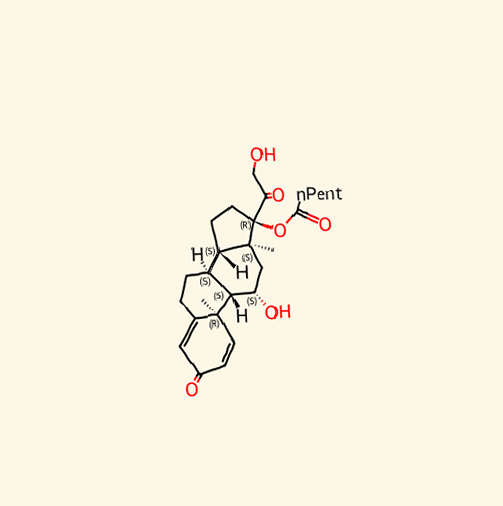 CCCCCC(=O)O[C@]1(C(=O)CO)CC[C@H]2[C@@H]3CCC4=CC(=O)C=C[C@]4(C)[C@H]3[C@@H](O)C[C@@]21C